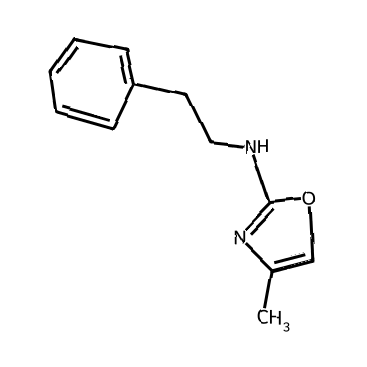 Cc1coc(NCCc2ccccc2)n1